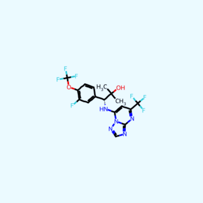 CC(C)(O)[C@H](Nc1cc(C(F)(F)F)nc2ncnn12)c1ccc(OC(F)(F)F)c(F)c1